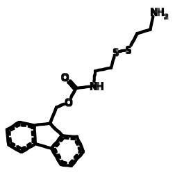 NCCSSCCNC(=O)OCC1c2ccccc2-c2ccccc21